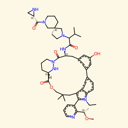 CCn1c(-c2cccnc2[C@H](C)OC)c2c3cc(ccc31)-c1cc(O)cc(c1)C[C@H](NC(=O)C(C(C)C)N1CC[C@]3(CCCN(C(=O)[C@@H]4CN4)C3)C1)C(=O)N1CCC[C@H](N1)C(=O)OCC(C)(C)C2